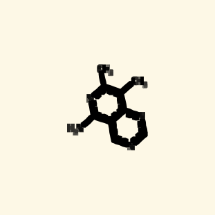 Cc1nc(N)c2cncnc2c1C